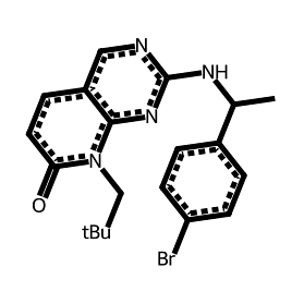 CC(Nc1ncc2ccc(=O)n(CC(C)(C)C)c2n1)c1ccc(Br)cc1